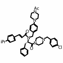 CC(=O)N1CCN(c2ccc(CN(C(=O)C=Cc3ccc(C(C)C)cc3)[C@@H](Cc3ccccc3)C(=O)N3CCN(Cc4ccc(Cl)cc4)CC3)cc2)CC1